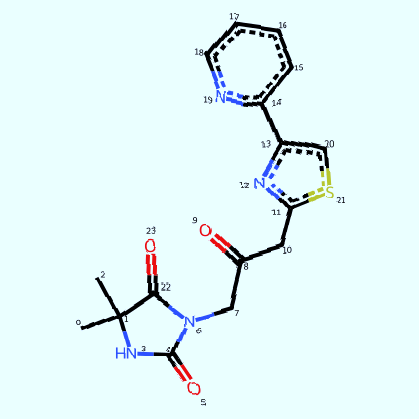 CC1(C)NC(=O)N(CC(=O)Cc2nc(-c3ccccn3)cs2)C1=O